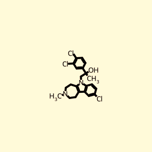 CN1CCc2c(n(CC(C)(O)c3ccc(Cl)c(Cl)c3)c3ccc(Cl)cc23)CC1